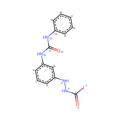 O=C(I)NNc1cccc(NC(=O)Nc2ccccc2)c1